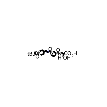 CC(C)(C)OC(=O)N1CCC(/C=C/C(=O)N2CCC[C@@H](C(=O)NCC(CO)C(=O)O)C2)CC1